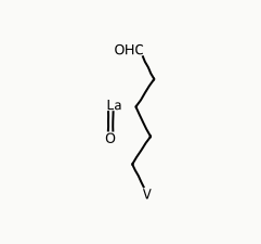 O=CCCC[CH2][V].[O]=[La]